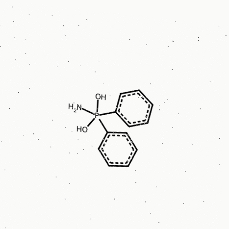 NP(O)(O)(c1ccccc1)c1ccccc1